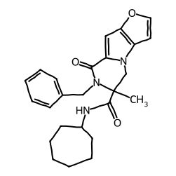 CC1(C(=O)NC2CCCCCC2)Cn2c(cc3occc32)C(=O)N1Cc1ccccc1